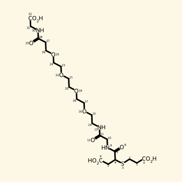 O=C(O)CCSC(CC(=O)O)C(=O)NCC(=O)NCCOCCOCCOCCOCCC(=O)NCC(=O)O